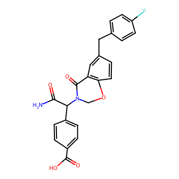 NC(=O)C(c1ccc(C(=O)O)cc1)N1COc2ccc(Cc3ccc(F)cc3)cc2C1=O